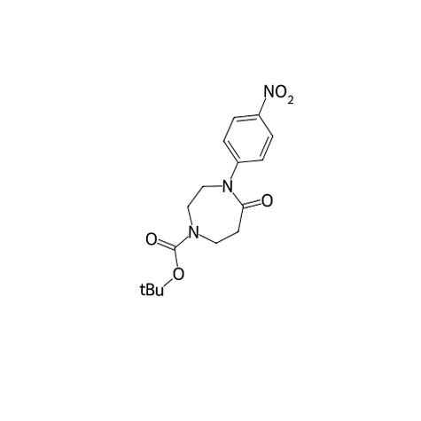 CC(C)(C)OC(=O)N1CCC(=O)N(c2ccc([N+](=O)[O-])cc2)CC1